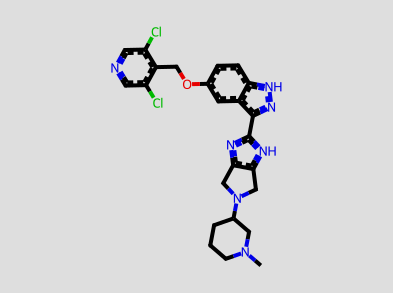 CN1CCCC(N2Cc3nc(-c4n[nH]c5ccc(OCc6c(Cl)cncc6Cl)cc45)[nH]c3C2)C1